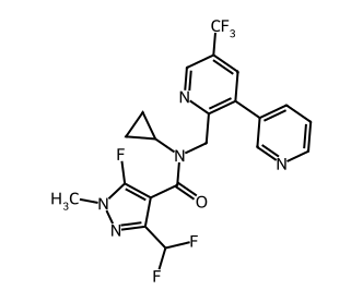 Cn1nc(C(F)F)c(C(=O)N(Cc2ncc(C(F)(F)F)cc2-c2cccnc2)C2CC2)c1F